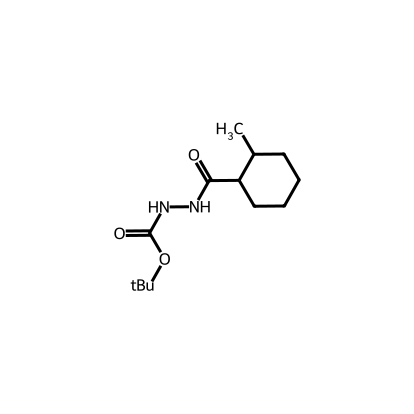 CC1CCCCC1C(=O)NNC(=O)OC(C)(C)C